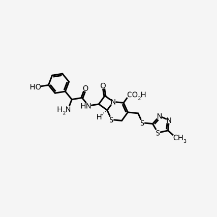 Cc1nnc(SCC2=C(C(=O)O)N3C(=O)C(NC(=O)C(N)c4cccc(O)c4)[C@@H]3SC2)s1